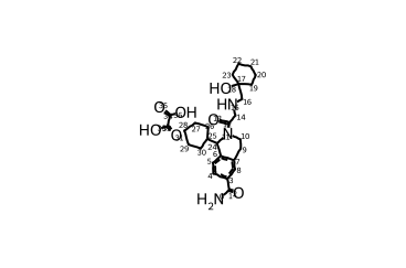 NC(=O)c1ccc2c(c1)CCN(C(=O)CNCC1(O)CCCCC1)C2C1CCCCC1.O=C(O)C(=O)O